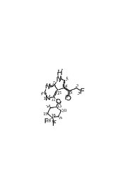 O=C(CF)c1c[nH]c2ncnc(OC3CCC(F)(F)CC3)c12